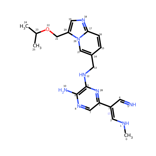 CN/C=C(\C=N)c1cnc(N)c(NCc2ccc3ncc(COC(C)C)n3c2)n1